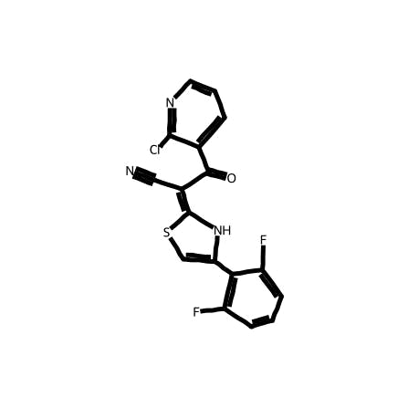 N#C/C(C(=O)c1cccnc1Cl)=C1/NC(c2c(F)cccc2F)=CS1